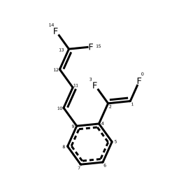 FC=C(F)c1ccccc1C=CC=C(F)F